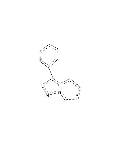 c1ccc(-c2cnn3ccccc23)cc1